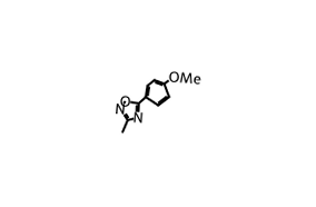 COc1ccc(-c2nc(C)no2)cc1